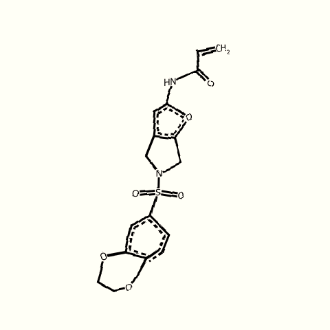 C=CC(=O)Nc1cc2c(o1)CN(S(=O)(=O)c1ccc3c(c1)OCCO3)C2